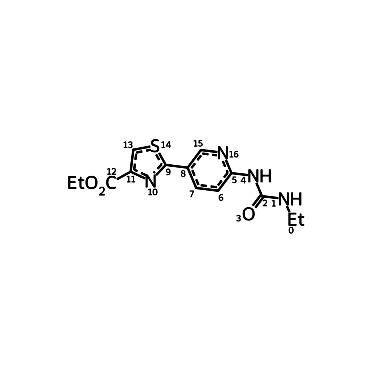 CCNC(=O)Nc1ccc(-c2nc(C(=O)OCC)cs2)cn1